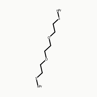 CCCSCCOCCOCCSCCC